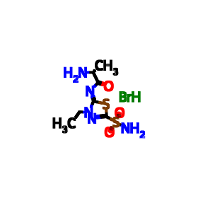 Br.CCn1nc(S(N)(=O)=O)sc1=NC(=O)[C@H](C)N